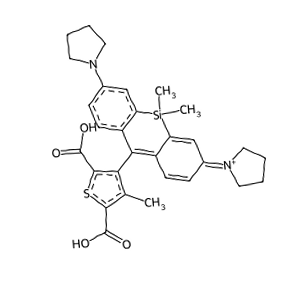 Cc1c(C(=O)O)sc(C(=O)O)c1C1=C2C=CC(=[N+]3CCCC3)C=C2[Si](C)(C)c2cc(N3CCCC3)ccc21